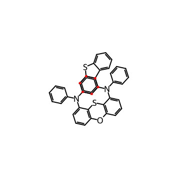 c1ccc(N(c2ccccc2)c2cccc3c2Sc2c(cccc2N(c2ccccc2)c2cccc4sc5ccccc5c24)O3)cc1